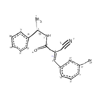 B[C@H](NC(=O)/C(C#N)=C/c1cccc(Br)n1)c1ccccc1